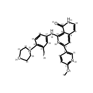 COc1ccc(-c2cc3cc[nH]c(=O)c3c(Nc3ccc(N4CCOCC4)c(F)c3)n2)cn1